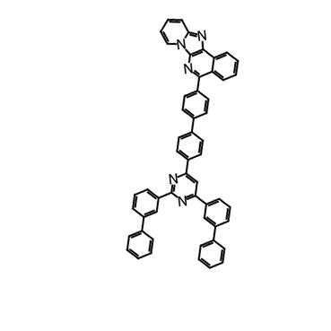 c1ccc(-c2cccc(-c3cc(-c4ccc(-c5ccc(-c6nc7c(nc8ccccn87)c7ccccc67)cc5)cc4)nc(-c4cccc(-c5ccccc5)c4)n3)c2)cc1